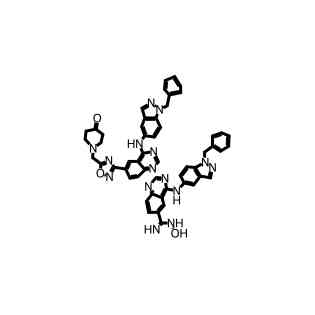 N=C(NO)c1ccc2ncnc(Nc3ccc4c(cnn4Cc4ccccc4)c3)c2c1.O=C1CCN(Cc2nc(-c3ccc4ncnc(Nc5ccc6c(cnn6Cc6ccccc6)c5)c4c3)no2)CC1